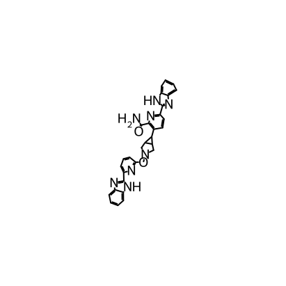 NC(=O)c1nc(-c2nc3ccccc3[nH]2)ccc1C1C2CN(Oc3cccc(-c4nc5ccccc5[nH]4)n3)CC21